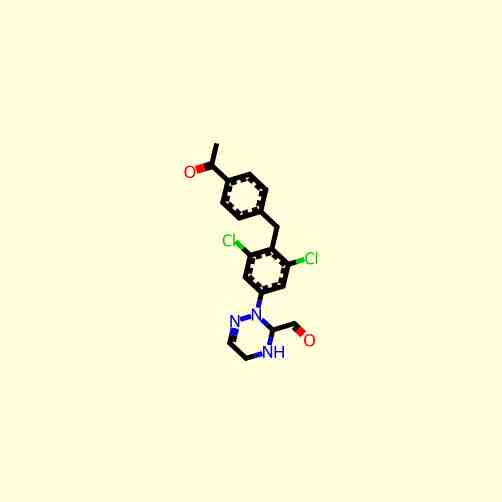 CC(=O)c1ccc(Cc2c(Cl)cc(N3N=CCNC3C=O)cc2Cl)cc1